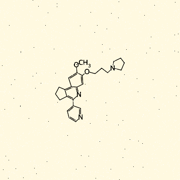 COc1cc2c3c(c(-c4cccnc4)nc2cc1OCCCN1CCCC1)CCC3